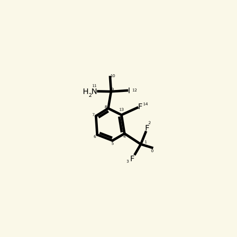 CC(F)(F)c1cccc(C(C)(N)I)c1F